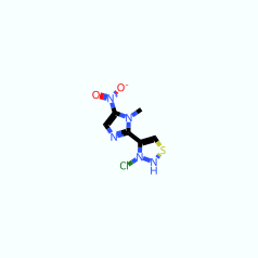 Cn1c([N+](=O)[O-])cnc1C1=CSNN1Cl